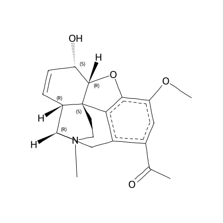 COc1cc(C(C)=O)c2c3c1O[C@H]1[C@@H](O)C=C[C@H]4[C@@H](C2)N(C)CC[C@@]341